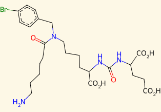 NCCCCCC(=O)N(CCCCC(NC(=O)NC(CCC(=O)O)C(=O)O)C(=O)O)Cc1ccc(Br)cc1